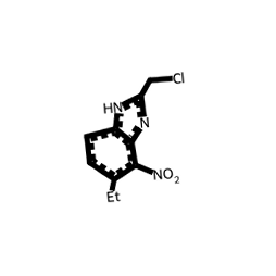 CCc1ccc2[nH]c(CCl)nc2c1[N+](=O)[O-]